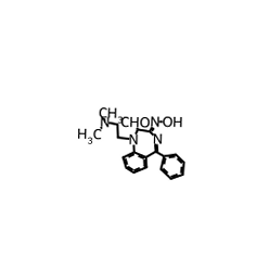 CN(C)CCN1c2ccccc2C(c2ccccc2)=NC(=NO)C1C=O